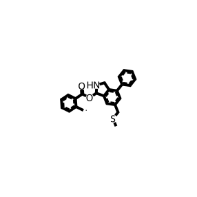 [CH2]c1ccccc1C(=O)OC1NCc2c(-c3ccccc3)cc(CSC)cc21